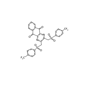 O=C1c2ccccc2C(=O)c2nc(CS(=O)(=O)c3ccc(C(F)(F)F)cc3)c(CS(=O)(=O)c3ccc(C(F)(F)F)cc3)nc21